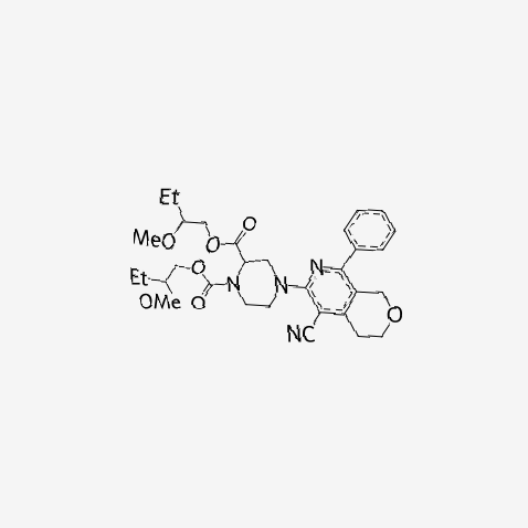 CCC(COC(=O)C1CN(c2nc(-c3ccccc3)c3c(c2C#N)CCOC3)CCN1C(=O)OCC(CC)OC)OC